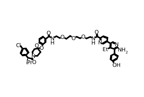 CCc1c(-c2ccc(C(=O)NCCOCCOCCOCCNC(=O)c3ccc4c(c3)OC3(CCN(C(=O)[C@H](c5ccc(Cl)cc5)C(C)C)CC3)O4)nc2)cnc(N)c1-c1ccc(O)cc1